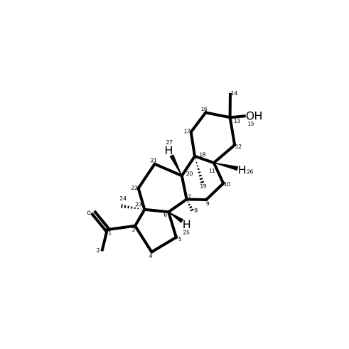 C=C(C)C1CC[C@H]2[C@]3(C)CC[C@H]4CC(C)(O)CC[C@]4(C)[C@H]3CC[C@]12C